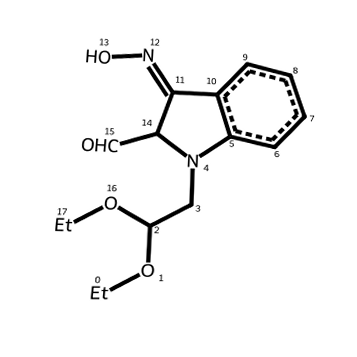 CCOC(CN1c2ccccc2C(=NO)C1C=O)OCC